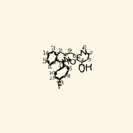 CN1CC[C@@H](O)[C@H](O)[C@H]1C[C@@H]1Cc2ccccc2C(c2ccc(F)cc2)=N1